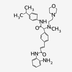 CC(C)c1ccc(NC(=O)C(c2ccc(C=CC(=O)Nc3ccccc3N)cc2)N(C)CCN2CCOCC2)cc1